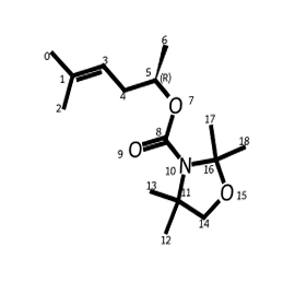 CC(C)=CC[C@@H](C)OC(=O)N1C(C)(C)COC1(C)C